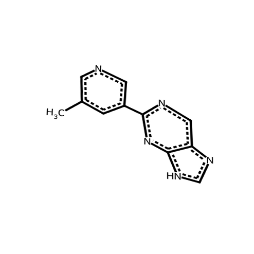 Cc1cncc(-c2ncc3nc[nH]c3n2)c1